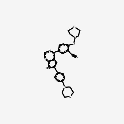 N#Cc1cc(-c2ncnc3[nH]c(-c4ccc(N5CCOCC5)cc4)cc23)ccc1ON1CCOCC1